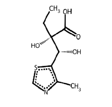 CC[C@@](O)(C(=O)O)[C@H](O)c1scnc1C